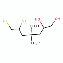 CCOC(=O)C(CC(O)CO)(CC(S)CS)C(=O)OCC